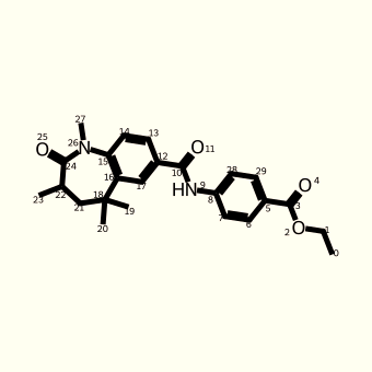 CCOC(=O)c1ccc(NC(=O)c2ccc3c(c2)C(C)(C)CC(C)C(=O)N3C)cc1